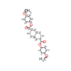 COc1ccc(OC(=O)C2CCC3CC(C(=O)Oc4ccc(OC)cc4)CCC3C2)cc1